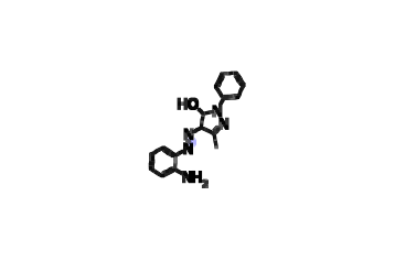 CC1=NN(c2ccccc2)C(O)C1/N=N/c1ccccc1N